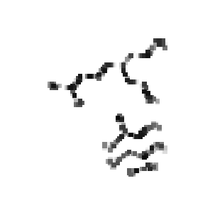 C=CC(N)=O.C=CCN.C=CCN(C=CC=C(C#N)C#N)CC=C.OCl